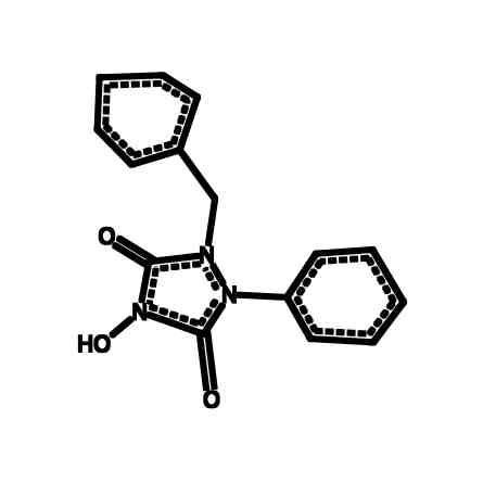 O=c1n(O)c(=O)n(-c2ccccc2)n1Cc1ccccc1